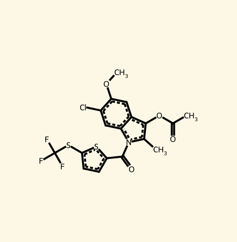 COc1cc2c(OC(C)=O)c(C)n(C(=O)c3ccc(SC(F)(F)F)s3)c2cc1Cl